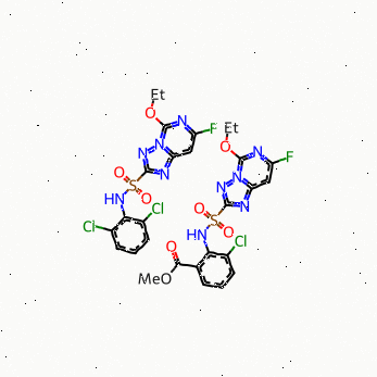 CCOc1nc(F)cc2nc(S(=O)(=O)Nc3c(Cl)cccc3C(=O)OC)nn12.CCOc1nc(F)cc2nc(S(=O)(=O)Nc3c(Cl)cccc3Cl)nn12